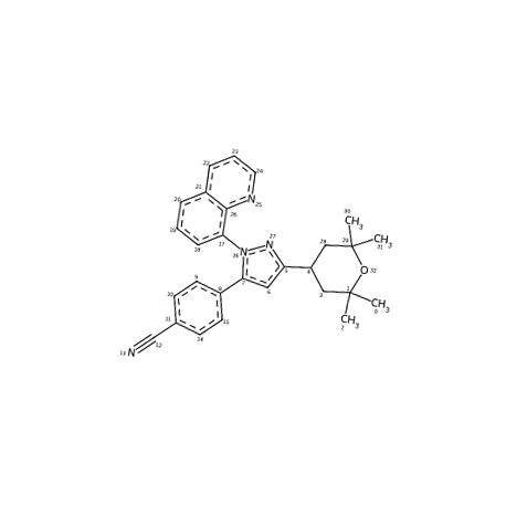 CC1(C)CC(c2cc(-c3ccc(C#N)cc3)n(-c3cccc4cccnc34)n2)CC(C)(C)O1